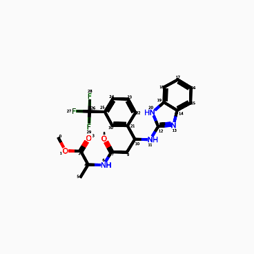 COC(=O)C(C)NC(=O)CC(Nc1nc2ccccc2[nH]1)c1cccc(C(F)(F)F)c1